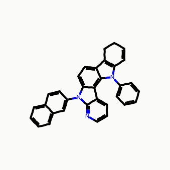 C1=Cc2c(c3ccc4c(c5cccnc5n4-c4ccc5ccccc5c4)c3n2-c2ccccc2)CC1